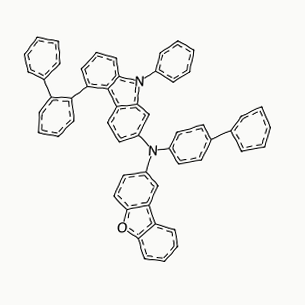 c1ccc(-c2ccc(N(c3ccc4oc5ccccc5c4c3)c3ccc4c5c(-c6ccccc6-c6ccccc6)cccc5n(-c5ccccc5)c4c3)cc2)cc1